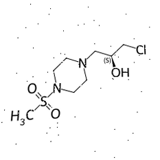 CS(=O)(=O)N1CCN(C[C@H](O)CCl)CC1